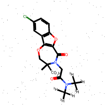 [2H]C([2H])([2H])N(C(=O)CN1C(=O)c2oc3ccc(Cl)cc3c2OCC1(C)C(=O)O)C([2H])([2H])[2H]